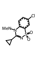 CNN1C(C2CC2)=NS(=O)(=O)c2cc(Cl)ccc21